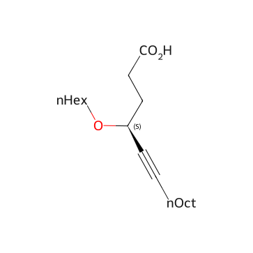 CCCCCCCCC#C[C@H](CCC(=O)O)OCCCCCC